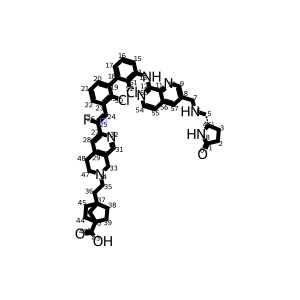 O=C1CC[C@@H](CNCc2cnc3c(Nc4cccc(-c5cccc(/C=C(\F)c6cc7c(cn6)CN(CCC68CCC(C(=O)O)(CC6)C8)CC7)c5Cl)c4Cl)nccc3c2)N1